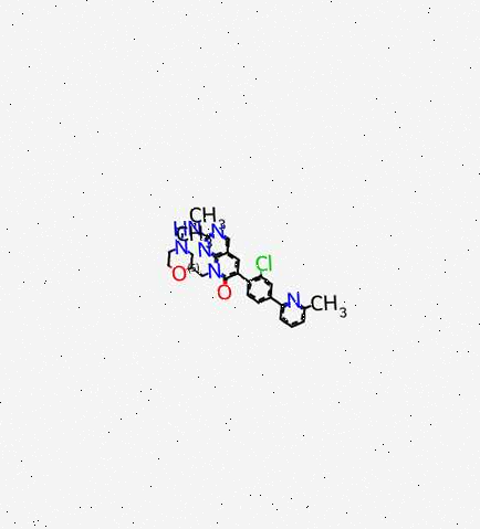 CNc1ncc2cc(-c3ccc(-c4cccc(C)n4)cc3Cl)c(=O)n(C[C@@H]3CN(C)CCO3)c2n1